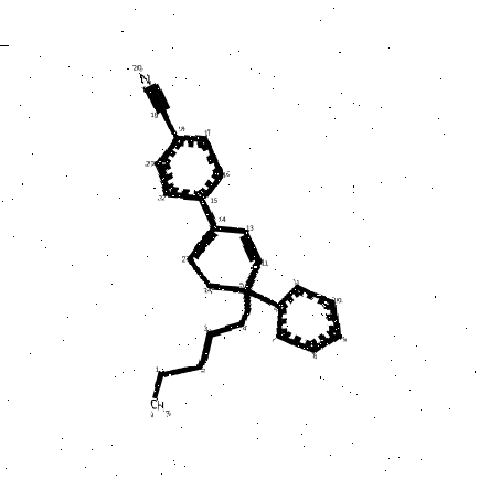 CCCCCC1(c2ccccc2)C=CC(c2ccc(C#N)cc2)=CC1